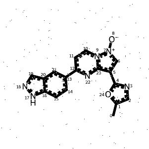 Cc1cnc(-c2c[n+]([O-])n3ccc(-c4ccc5[nH]ncc5c4)nc23)o1